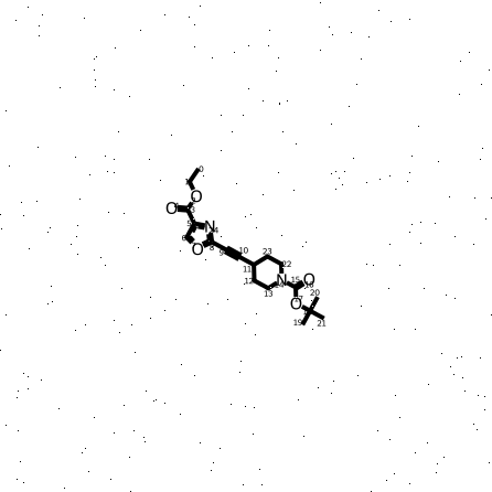 CCOC(=O)c1coc(C#CC2CCN(C(=O)OC(C)(C)C)CC2)n1